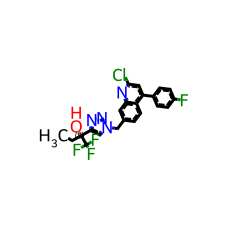 CC[C@](O)(c1cn(Cc2ccc3c(-c4ccc(F)cc4)cc(Cl)nc3c2)nn1)C(F)(F)F